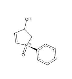 O=[P@]1(c2ccccc2)C=CC(O)C1